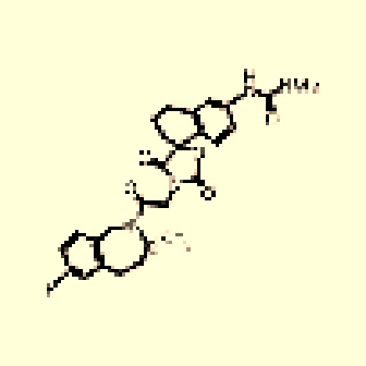 CNC(=O)Nc1ccc2c(c1)CCCC21OC(=O)N(CC(=O)N2Cc3ccc(F)cc3CC[C@H]2C(F)(F)F)C1=O